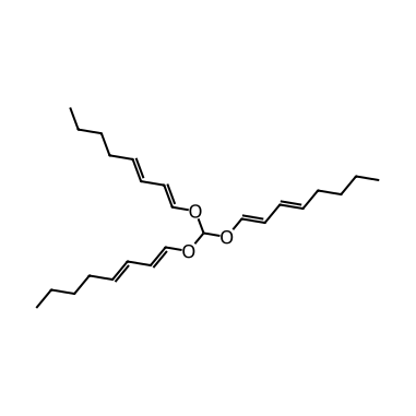 CCCC/C=C/C=C/OC(O/C=C/C=C/CCCC)O/C=C/C=C/CCCC